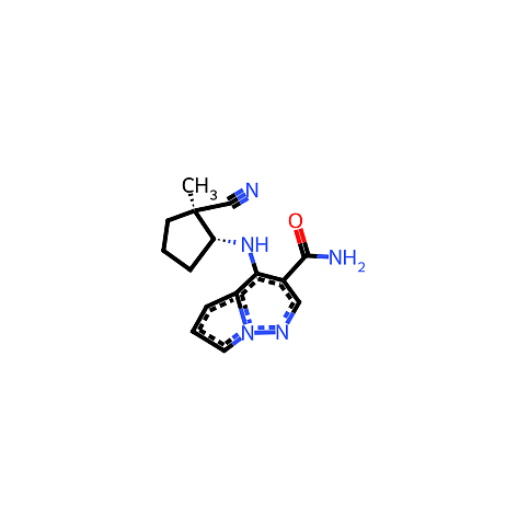 C[C@@]1(C#N)CCC[C@H]1Nc1c(C(N)=O)cnn2cccc12